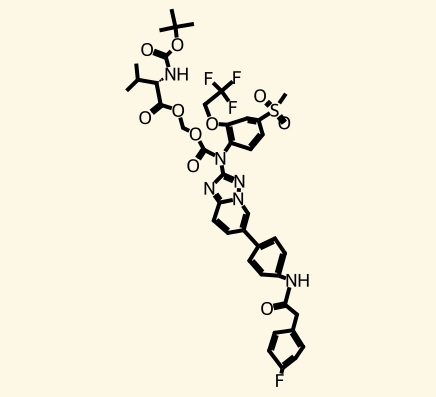 CC(C)[C@H](NC(=O)OC(C)(C)C)C(=O)OCOC(=O)N(c1nc2ccc(-c3ccc(NC(=O)Cc4ccc(F)cc4)cc3)cn2n1)c1ccc(S(C)(=O)=O)cc1OCC(F)(F)F